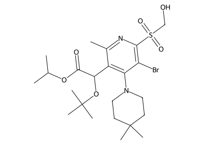 Cc1nc(S(=O)(=O)CO)c(Br)c(N2CCC(C)(C)CC2)c1C(OC(C)(C)C)C(=O)OC(C)C